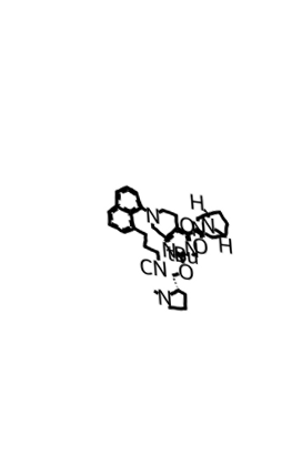 CN1CCC[C@H]1COc1nc2c(c(N3C[C@H]4CC[C@@H](C3)N4C(=O)OC(C)(C)C)n1)CCN(c1cccc3cccc(CCCC#N)c13)C2